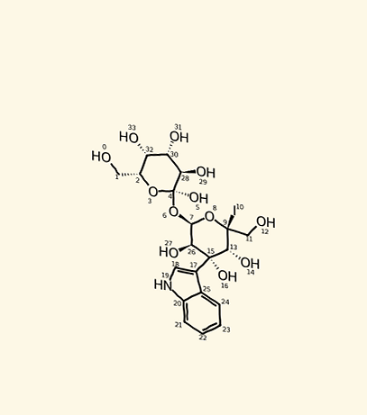 OC[C@H]1O[C@](O)(O[C@H]2O[C@](I)(CO)[C@H](O)[C@@](O)(c3c[nH]c4ccccc34)[C@H]2O)[C@H](O)[C@@H](O)[C@H]1O